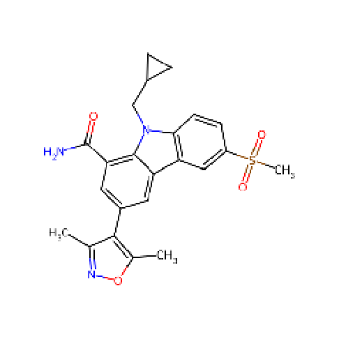 Cc1noc(C)c1-c1cc(C(N)=O)c2c(c1)c1cc(S(C)(=O)=O)ccc1n2CC1CC1